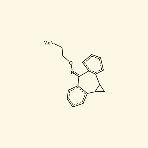 CNCCON=C1c2ccccc2C2CC2c2ccccc21